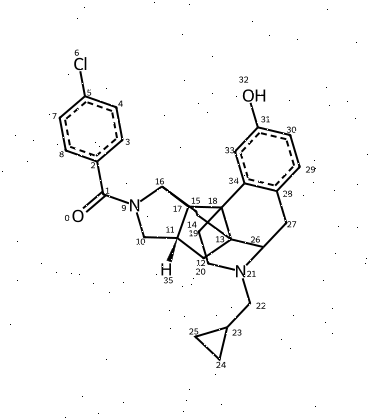 O=C(c1ccc(Cl)cc1)N1C[C@H]2CC34CCC1C2C31CCN(CC2CC2)C4Cc2ccc(O)cc21